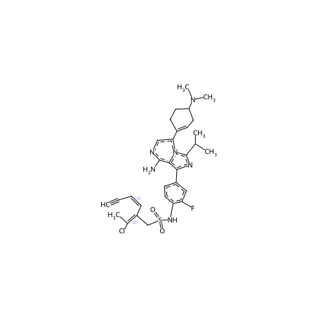 C#C/C=C\C(CS(=O)(=O)Nc1ccc(-c2nc(C(C)C)n3c(C4=CCC(N(C)C)CC4)cnc(N)c23)cc1F)=C(/C)Cl